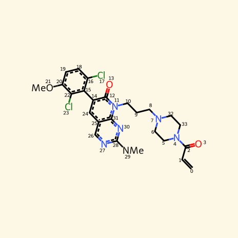 C=CC(=O)N1CCN(CCCn2c(=O)c(-c3c(Cl)ccc(OC)c3Cl)cc3cnc(NC)nc32)CC1